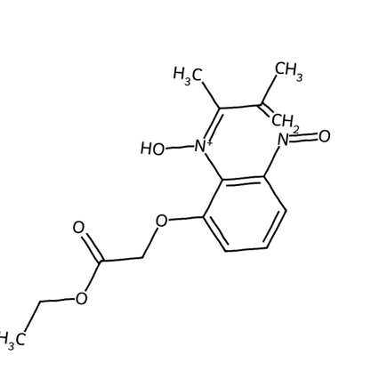 C=C(C)/C(C)=[N+](/O)c1c(N=O)cccc1OCC(=O)OCC